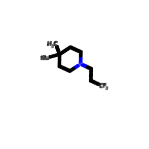 CC(C)(C)C1(C)CCN(CCC(F)(F)F)CC1